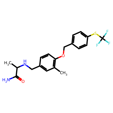 Cc1cc(CNC(C)C(N)=O)ccc1OCc1ccc(SC(F)(F)F)cc1